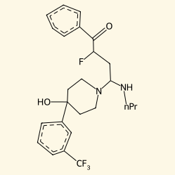 CCCNC(CC(F)C(=O)c1ccccc1)N1CCC(O)(c2cccc(C(F)(F)F)c2)CC1